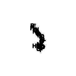 C[C@H]1CN(c2n[nH]c(=O)c3c(F)cccc23)C[C@H](CC(=O)N2CCN(c3ncc(C(F)(F)F)cn3)CC2)O1